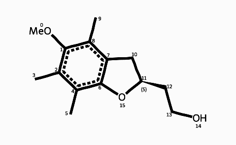 COc1c(C)c(C)c2c(c1C)C[C@@H](CCO)O2